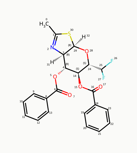 CC1=N[C@@H]2[C@@H](OC(=O)c3ccccc3)[C@H](OC(=O)c3ccccc3)[C@@H](C(F)F)O[C@@H]2S1